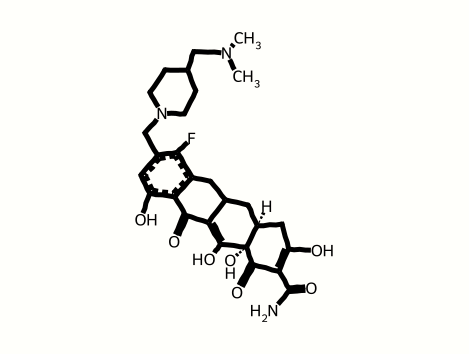 CN(C)CC1CCN(Cc2cc(O)c3c(c2F)CC2C[C@H]4CC(O)=C(C(N)=O)C(=O)[C@@]4(O)C(O)=C2C3=O)CC1